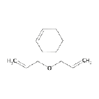 C1=CCCCC1.C=CCOCC=C